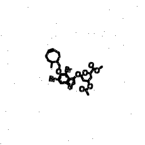 COC(=O)C1CC(OC(C)=O)CC(Oc2cn(C)c3cc(Br)c(OCC4CCC#CCCC4C)c(Br)c23)O1